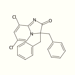 O=C1N=C2C(Cl)=CC(Cl)=CN2C1(Cc1ccccc1)Cc1ccccc1